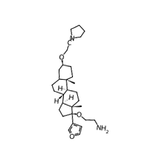 C[C@]12CC[C@H](OCCN3CCCC3)CC1CC[C@@H]1[C@@H]2CC[C@@]2(C)[C@H]1CC[C@@]2(OCCN)c1ccoc1